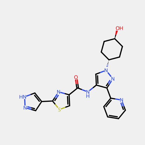 O=C(Nc1cn([C@H]2CC[C@H](O)CC2)nc1-c1ccccn1)c1csc(-c2cn[nH]c2)n1